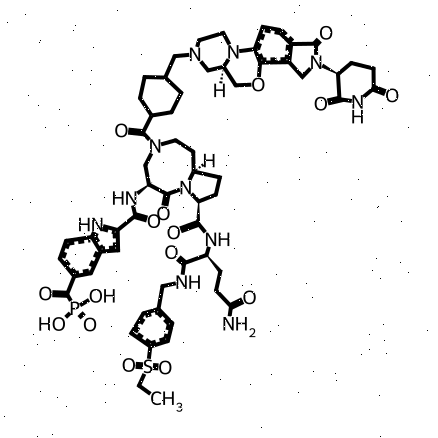 CCS(=O)(=O)c1ccc(CNC(=O)[C@H](CCC(N)=O)NC(=O)[C@@H]2CC[C@@H]3CCN(C(=O)C4CCC(CN5CCN6c7ccc8c(c7OC[C@H]6C5)CN([C@H]5CCC(=O)NC5=O)C8=O)CC4)C[C@H](NC(=O)c4cc5cc(C(=O)P(=O)(O)O)ccc5[nH]4)C(=O)N32)cc1